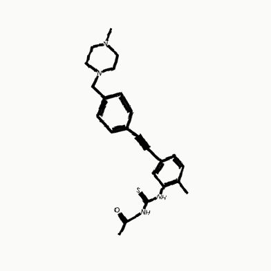 CC(=O)NC(=S)Nc1cc(C#Cc2ccc(CN3CCN(C)CC3)cc2)ccc1C